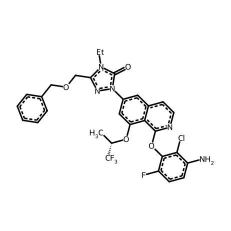 CCn1c(COCc2ccccc2)nn(-c2cc(O[C@@H](C)C(F)(F)F)c3c(Oc4c(F)ccc(N)c4Cl)nccc3c2)c1=O